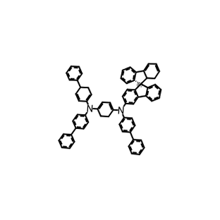 C1=CCC2C(=C1)c1ccccc1[C@@]21c2ccccc2-c2cc(N(C3=CC=C(N(C4=CCC(c5ccccc5)C=C4)c4ccc(-c5ccccc5)cc4)CC3)c3ccc(-c4ccccc4)cc3)ccc21